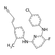 Cc1cc(C=CC#N)ccc1Nc1ccc(F)c(Nc2ccc(Cl)cc2)n1